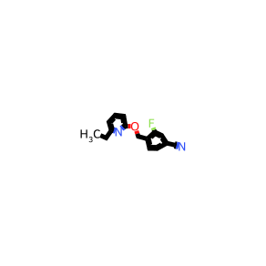 CCc1cccc(OCc2ccc(C#N)cc2F)n1